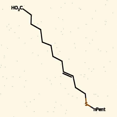 CCCCCSCCC=CCCCCCCCC(=O)O